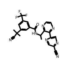 CC(NC(=O)c1cc(C(F)(F)F)cc(C(C)(C)C#N)c1)c1nccnc1-c1cnc(C#N)cn1